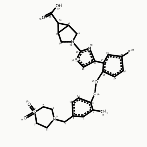 Cc1cc(CN2CCS(=O)(=O)CC2)ccc1COc1ccc(F)cc1-c1csc(N2CC3C(C2)C3C(=O)O)n1